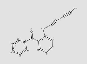 CC#CC#CCc1ccccc1C(=O)c1ccccc1